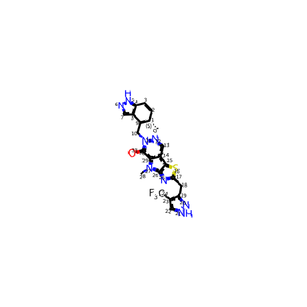 C[C@H]1C=Cc2[nH]ncc2C1Cn1ncc2c3sc(Cc4n[nH]cc4C(F)(F)F)nc3n(C)c2c1=O